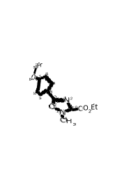 CCOC(=O)C1N=C(c2ccc(OC(C)C)cc2)ON1C